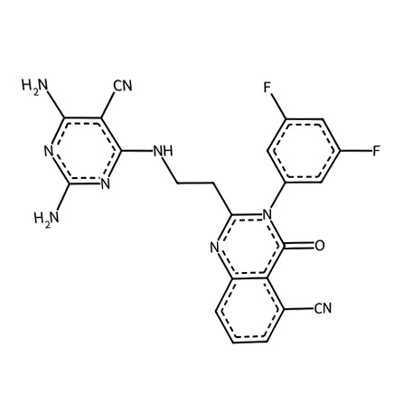 N#Cc1c(N)nc(N)nc1NCCc1nc2cccc(C#N)c2c(=O)n1-c1cc(F)cc(F)c1